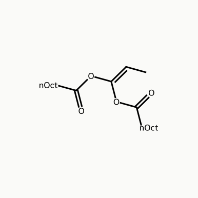 CC=C(OC(=O)CCCCCCCC)OC(=O)CCCCCCCC